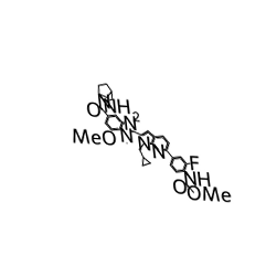 COC(=O)Nc1ccc(-c2ccc3cc(-c4nc5cc(C(=O)N6CC7CCC6C7N)cc(OC)c5n4C)n(CC4CC4)c3n2)cc1F